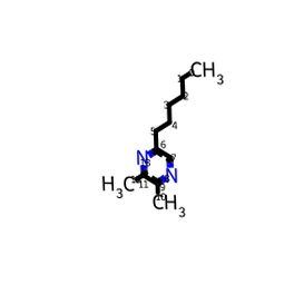 CCCCCCc1cnc(C)c(C)n1